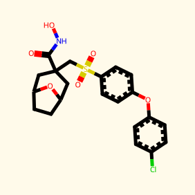 O=C(NO)C1(CS(=O)(=O)c2ccc(Oc3ccc(Cl)cc3)cc2)CC2CCC(C1)O2